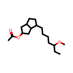 CCC(CCCCC1CCC2CC(OC(C)=O)CC12)OC